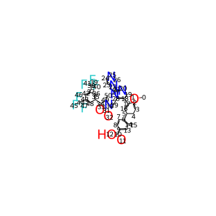 COC1=CCC(c2ccc(C(=O)O)cc2C)C=C1c1cnc(-n2ccnc2)nc1CN1C(=O)OC(c2cc(C(F)(F)F)cc(C(F)(F)F)c2)C1C